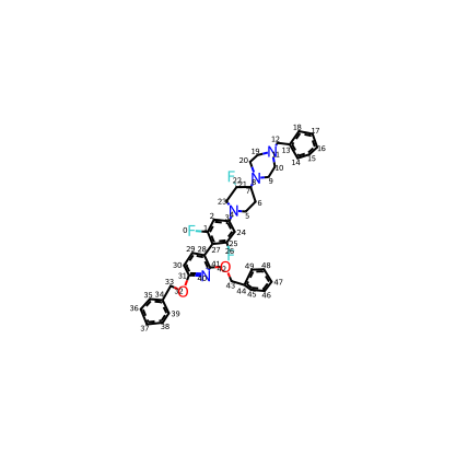 Fc1cc(N2CC[C@H](N3CCN(Cc4ccccc4)CC3)[C@@H](F)C2)cc(F)c1-c1ccc(OCc2ccccc2)nc1OCc1ccccc1